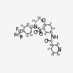 O=C(Nc1ccc2c(c1)S(=O)(=O)N(c1ccc(C(F)(F)F)cc1)CCO2)c1cccnc1